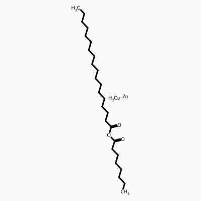 CCCCCCCCCCCCCCCCCC(=O)OC(=O)CCCCCCC.[CaH2].[Zn]